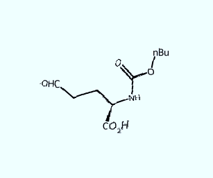 CCCCOC(=O)N[C@H](CC[C]=O)C(=O)O